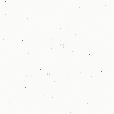 COc1ccc(C(N)C2CCOCC2)cn1.Cl